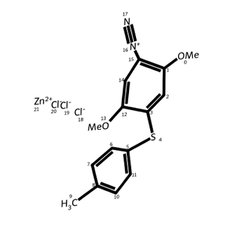 COc1cc(Sc2ccc(C)cc2)c(OC)cc1[N+]#N.[Cl-].[Cl-].[Cl-].[Zn+2]